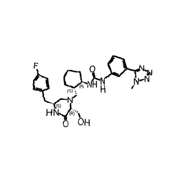 Cn1nnnc1-c1cccc(NC(=O)N[C@@H]2CCCC[C@H]2CN2C[C@H](Cc3ccc(F)cc3)NC(=O)[C@H]2CO)c1